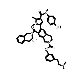 Cc1c(C(=O)N(C)c2ccc(O)cc2)cc(-c2cc3c(cc2C(=O)N2Cc4ccccc4C[C@H]2C)CN(C(=O)Oc2cccc(CCN(C)C)c2)CC3)n1C